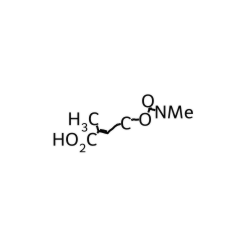 CNC(=O)OCCCC=C(C)C(=O)O